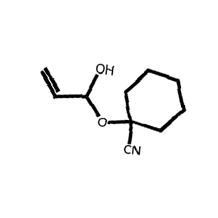 C=CC(O)OC1(C#N)CCCCC1